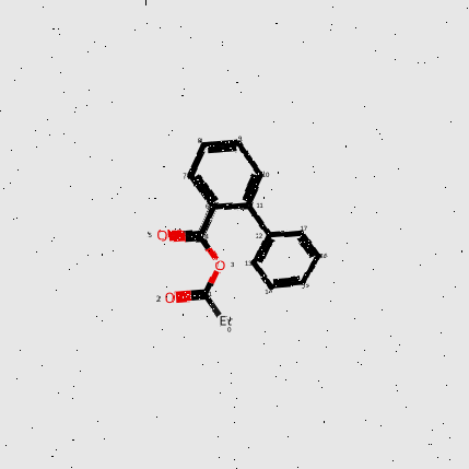 CCC(=O)OC(=O)c1ccccc1-c1ccccc1